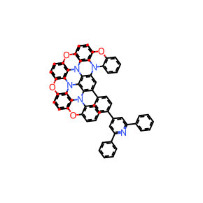 c1ccc(-c2cc(-c3ccc(-c4cc(N5c6ccccc6Oc6ccccc65)c(N5c6ccccc6Oc6ccccc65)c(N5c6ccccc6Oc6ccccc65)c4N4c5ccccc5Oc5ccccc54)cc3)cc(-c3ccccc3)n2)cc1